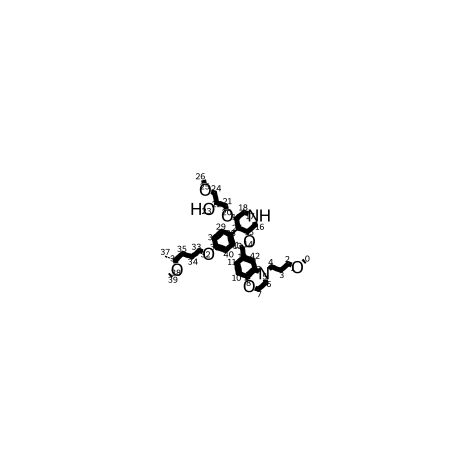 COCCCN1CCOc2ccc(CO[C@H]3CNC[C@@H](OC[C@H](O)COC)[C@@H]3c3ccc(OCCC[C@@H](C)OC)cc3)cc21